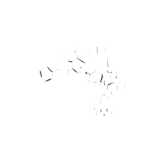 CCOC(=O)c1cn([C@@H](Cc2cc(OCCCOC)c(Cl)nc2I)C(C)(C)C)cc(OCc2ccccc2)c1=O